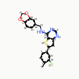 Cc1ccc(-c2cc3ncnc(NCc4ccc5c(c4)OCO5)c3s2)cc1F